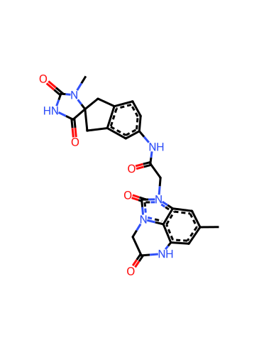 Cc1cc2c3c(c1)n(CC(=O)Nc1ccc4c(c1)CC1(C4)C(=O)NC(=O)N1C)c(=O)n3CC(=O)N2